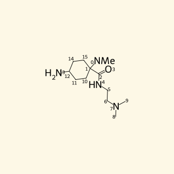 CNC1(C(=O)NCCN(C)C)CCC(N)CC1